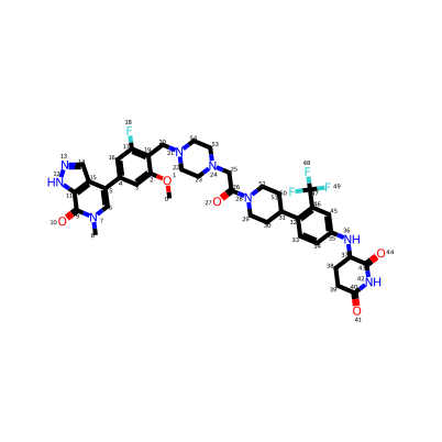 COc1cc(-c2cn(C)c(=O)c3[nH]ncc23)cc(F)c1CN1CCN(CC(=O)N2CCC(c3ccc(NC4CCC(=O)NC4=O)cc3C(F)(F)F)CC2)CC1